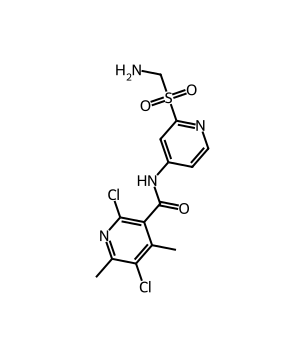 Cc1nc(Cl)c(C(=O)Nc2ccnc(S(=O)(=O)CN)c2)c(C)c1Cl